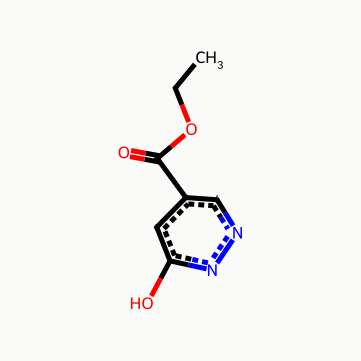 CCOC(=O)c1[c]nnc(O)c1